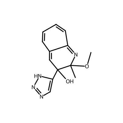 COC1(C)N=c2ccccc2=CC1(O)c1cnn[nH]1